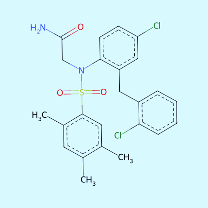 Cc1cc(C)c(S(=O)(=O)N(CC(N)=O)c2ccc(Cl)cc2Cc2ccccc2Cl)cc1C